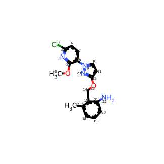 COc1nc(Cl)ccc1-n1ccc(OCc2c(C)cccc2N)n1